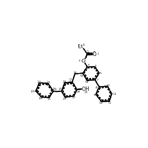 CCC(=O)Oc1ccc(-c2ccccc2)cc1Cc1cc(-c2ccccc2)ccc1O